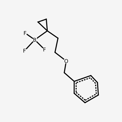 F[B-](F)(F)C1(CCOCc2ccccc2)CC1